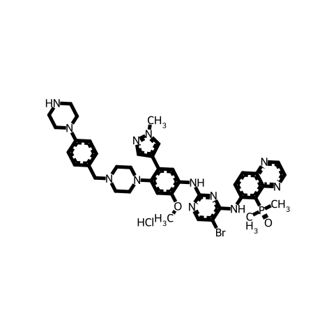 COc1cc(N2CCN(Cc3ccc(N4CCNCC4)cc3)CC2)c(-c2cnn(C)c2)cc1Nc1ncc(Br)c(Nc2ccc3nccnc3c2P(C)(C)=O)n1.Cl